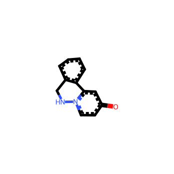 O=c1ccn2c(c1)-c1ccccc1CN2